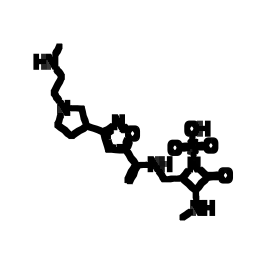 C=C(NCC1C(NC)C(=O)N1S(=O)(=O)O)c1cc(C2CCN(CCNC)C2)no1